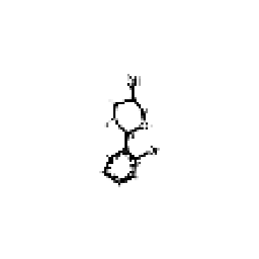 OC1COC(c2ccccc2Br)OC1